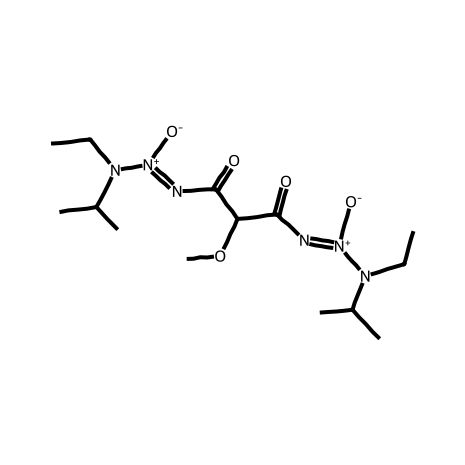 CCN(C(C)C)[N+]([O-])=NC(=O)C(OC)C(=O)N=[N+]([O-])N(CC)C(C)C